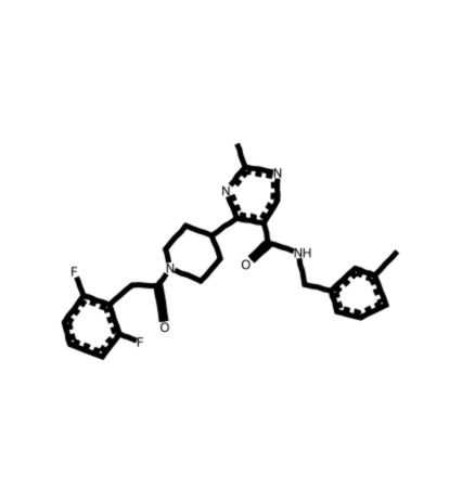 Cc1cccc(CNC(=O)c2cnc(C)nc2C2CCN(C(=O)Cc3c(F)cccc3F)CC2)c1